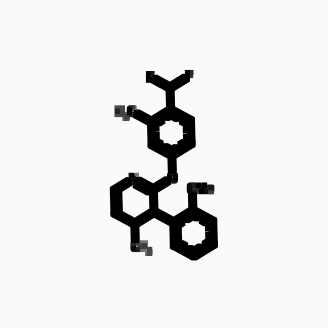 COc1ccccc1C1C(Oc2ccc(C(F)F)c(C)c2)=NC=CC1C